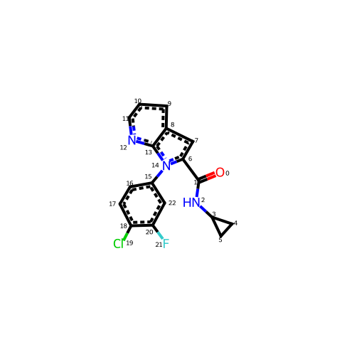 O=C(NC1CC1)c1cc2cccnc2n1-c1ccc(Cl)c(F)c1